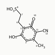 Cc1cc(O)n(CCS(=O)(=O)O)c(=O)c1C#N